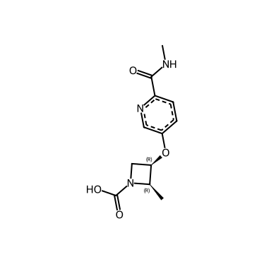 CNC(=O)c1ccc(O[C@@H]2CN(C(=O)O)[C@@H]2C)cn1